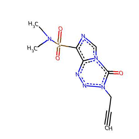 C#CCn1nnc2c(S(=O)(=O)N(C)C)ncn2c1=O